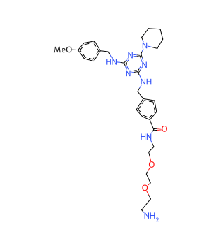 COc1ccc(CNc2nc(NCc3ccc(C(=O)NCCOCCOCCN)cc3)nc(N3CCCCC3)n2)cc1